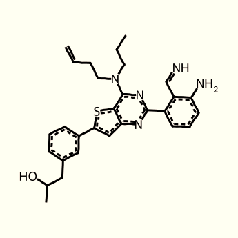 C=CCCN(CCC)c1nc(-c2cccc(N)c2C=N)nc2cc(-c3cccc(CC(C)O)c3)sc12